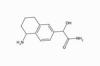 NC(=O)C(O)c1ccc2c(c1)CCCC2N